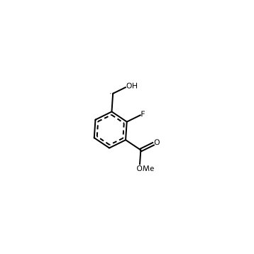 COC(=O)c1cccc([CH]O)c1F